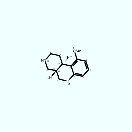 COc1cccc2c1[C@@H]1CCNC[C@H]1CO2